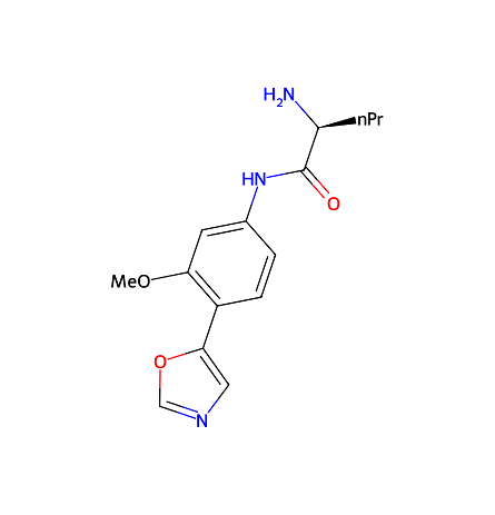 CCC[C@H](N)C(=O)Nc1ccc(-c2cnco2)c(OC)c1